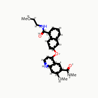 CNC(=O)c1cc2c(Oc3ccc4c(C(=O)NCCOC)cccc4c3)ccnc2cc1OC